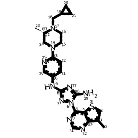 Cc1csc2c(-n3nc(Nc4ccc(N5CCN(CC6CC6)[C@@H](C)C5)nc4)nc3N)ncnc12